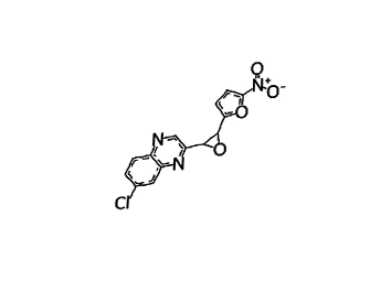 O=[N+]([O-])c1ccc(C2OC2c2cnc3ccc(Cl)cc3n2)o1